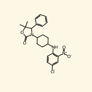 CC1(C)OC(=O)N(C2CCC(Nc3ccc(Cl)cc3[N+](=O)[O-])CC2)C1c1ccccc1